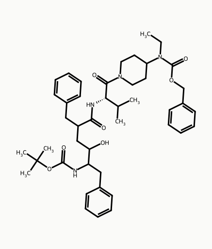 CCN(C(=O)OCc1ccccc1)C1CCN(C(=O)[C@@H](NC(=O)C(Cc2ccccc2)CC(O)C(Cc2ccccc2)NC(=O)OC(C)(C)C)C(C)C)CC1